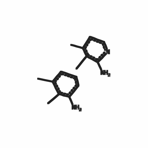 Cc1cccc(N)c1C.Cc1ccnc(N)c1C